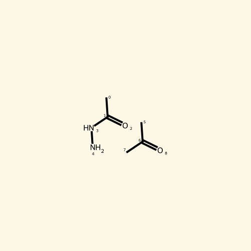 CC(=O)NN.CC(C)=O